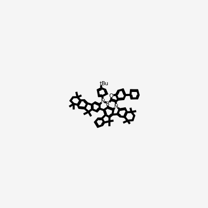 CC(C)(C)c1ccc(N2B3c4oc5ccc(-c6ccccc6)cc5c4-n4c5cc6c(cc5c5c7c(c(c3c54)-c3cc4c(cc32)-c2cc3c(cc2C4(C)C)C(C)(C)CCC3(C)C)-c2ccccc2C7(C)C)C(C)(C)CCC6(C)C)cc1